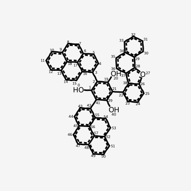 Oc1c(-c2ccc3ccc4cccc5ccc2c3c45)c(O)c(-c2cccc3oc4c5ccccc5ccc4c23)c(O)c1-c1ccc2ccc3cccc4ccc1c2c34